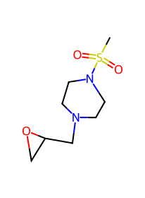 CS(=O)(=O)N1CCN(CC2CO2)CC1